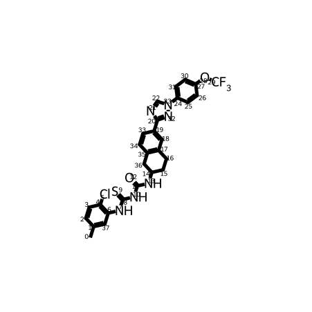 Cc1ccc(Cl)c(NC(=S)NC(=O)NC2CCc3cc(-c4ncn(-c5ccc(OC(F)(F)F)cc5)n4)ccc3C2)c1